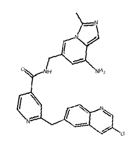 Cc1ncc2c(N)cc(CNC(=O)c3ccnc(Cc4ccc5ncc(Cl)cc5c4)c3)cn12